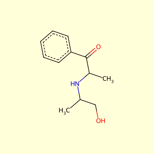 CC(CO)NC(C)C(=O)c1ccccc1